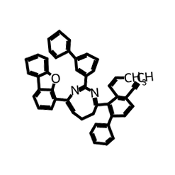 C#Cc1ccc(-c2ccccc2)c(/C2=N/C(c3cccc(-c4ccccc4)c3)=N\C(c3cccc4c3oc3ccccc34)=C/CC2)c1/C=C\C